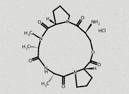 C[C@@H]1NC(=O)[C@H](C)N(C)C(=O)[C@@H]2CCCN2C(=O)[C@@H](N)COC(=O)[C@@H]2CCCN2C1=O.Cl